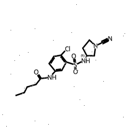 CCCCC(=O)Nc1ccc(Cl)c(S(=O)(=O)N[C@@H]2CCN(C#N)C2)c1